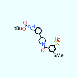 CSc1cc(C(=O)N2CCC(c3cccc(CNC(=O)OC(C)(C)C)c3)CC2)cc([SH](C)(C)=O)c1